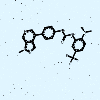 CN(C)c1ccc(C(F)(F)F)cc1NC(=O)Nc1ccc(-c2cncc3c2cnn3C)cc1